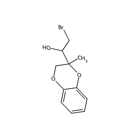 CC1(C(O)CBr)COc2ccccc2O1